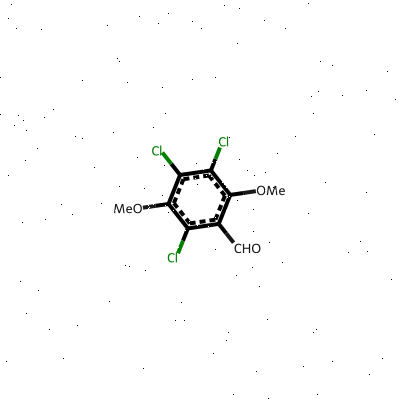 COc1c(Cl)c(Cl)c(OC)c(C=O)c1Cl